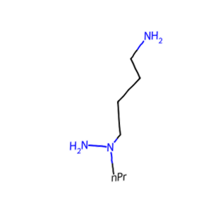 CCCN(N)CCCCN